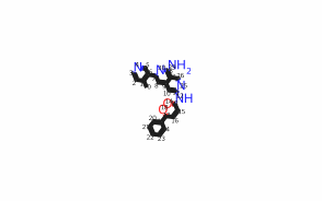 Cc1ccncc1-c1cc2cc(NC(=O)/C=C\C(=O)c3ccccc3)ncc2c(N)n1